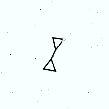 C1C[C]1C1CO1